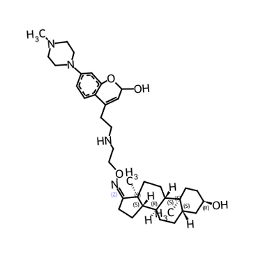 CN1CCN(c2ccc3c(c2)OC(O)C=C3CCNCCO/N=C2/CC[C@H]3[C@@H]4CC[C@H]5C[C@H](O)CC[C@]5(C)[C@H]4CC[C@]23C)CC1